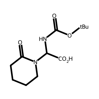 CC(C)(C)OC(=O)NC(C(=O)O)N1CCCCC1=O